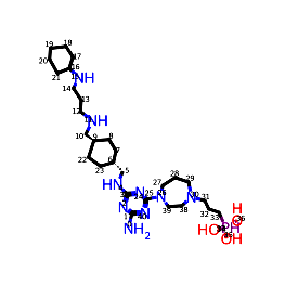 Nc1nc(NC[C@H]2CC[C@H](CNCCCNC3CCCCC3)CC2)nc(N2CCCN(CCC[PH](O)(O)O)CC2)n1